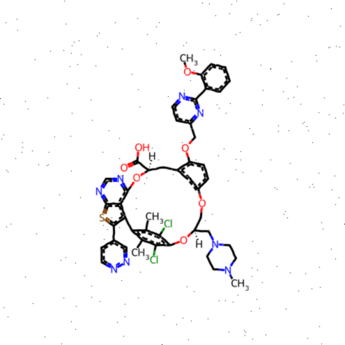 COc1ccccc1-c1nccc(COc2ccc3cc2C[C@H](C(=O)O)Oc2ncnc4sc(-c5ccnnc5)c(c24)-c2c(C)c(Cl)c(c(Cl)c2C)O[C@H](CN2CCN(C)CC2)CO3)n1